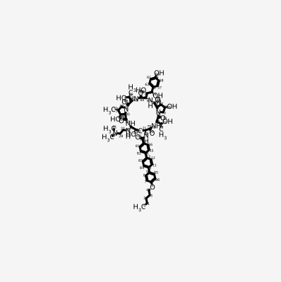 CCCCCOc1ccc(-c2ccc(-c3ccc(C(=O)N[C@H]4C[C@@H](O)[C@@H](NCCN(C)C)NC(=O)[C@@H]5[C@@H](O)[C@@H](C)CN5C(=O)[C@H]([C@@H](C)O)NC(=O)[C@H]([C@H](O)[C@@H](O)c5ccc(O)cc5)NC(=O)[C@@H]5C[C@@H](O)CN5C(=O)[C@H]([C@@H](C)O)NC4=O)cc3)cc2)cc1